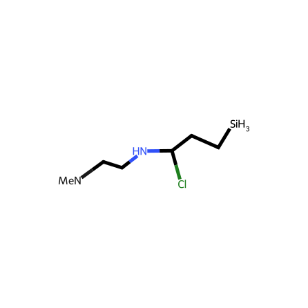 CNCCNC(Cl)CC[SiH3]